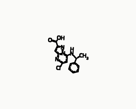 C[C@H](Nc1cc(Cl)nc2cc(C(=O)O)nn12)c1ccccc1